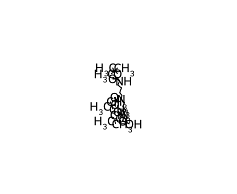 CC(C)(C)OC(=O)NCCCCN(CCCN(CC(=O)O)C(=O)OC(C)(C)C)C(=O)OC(C)(C)C